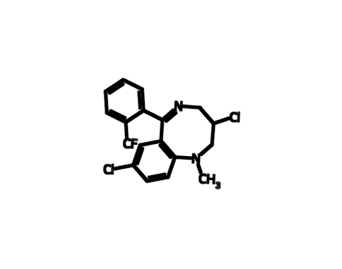 CN1CC(Cl)C/N=C(/c2ccccc2C(F)(F)F)c2cc(Cl)ccc21